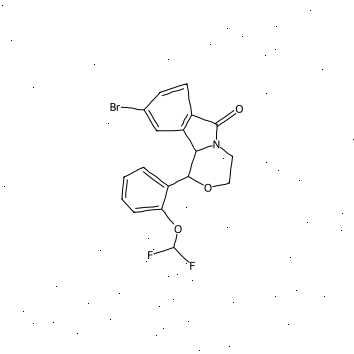 O=C1c2ccc(Br)cc2C2C(c3ccccc3OC(F)F)OCCN12